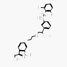 CCc1n[nH]c2cc(OCCNCC(O)c3cccc(NS(=O)(=O)c4c(F)cccc4F)c3)ccc12